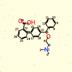 CN(C)CCOC(c1ccccc1)c1ccccc1.O=C(O)c1ccccc1